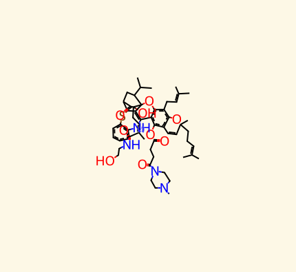 CC(C)=CCCC1(C)C=Cc2c(c(CC=C(C)C)c3c(c2OC(=O)CCC(=O)N2CCN(C)CC2)C2=C4C(Sc5ccccc5N2)C2CC(C(C)C)C4(O3)C(O)(C/C=C(/C)C(=O)NCCO)C2=O)O1